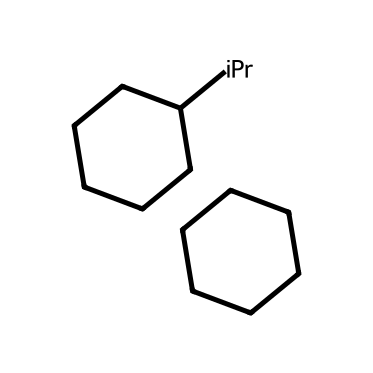 C1CCCCC1.CC(C)C1CCCCC1